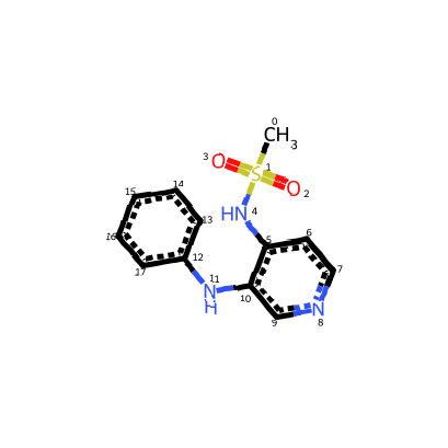 CS(=O)(=O)Nc1ccncc1Nc1ccccc1